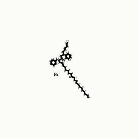 CCCCCCCCCCCCCCCCCCCCCC(=N\c1ccccc1)/C(CCCCCCCC)=N/c1ccccc1.[Pd]